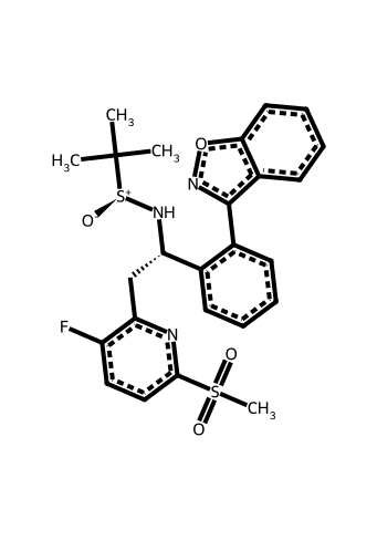 CC(C)(C)[S@+]([O-])N[C@@H](Cc1nc(S(C)(=O)=O)ccc1F)c1ccccc1-c1noc2ccccc12